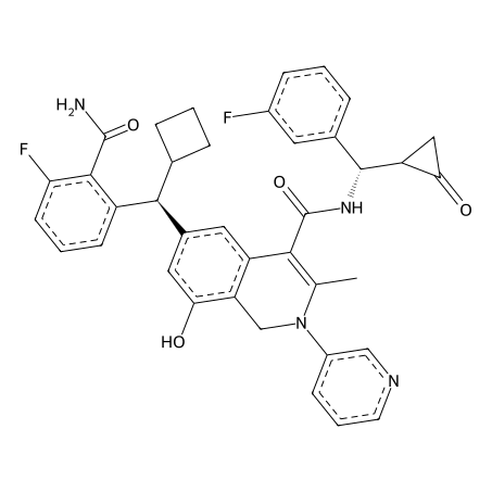 CC1=C(C(=O)N[C@H](c2cccc(F)c2)C2CC2=O)c2cc([C@@H](c3cccc(F)c3C(N)=O)C3CCC3)cc(O)c2CN1c1cccnc1